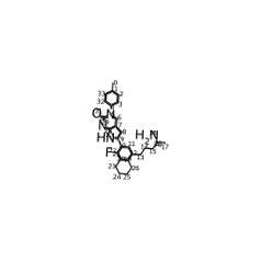 Cc1ccc(-n2cc3cc(-c4cc(CCC[C@H](C)N)c5c(c4F)CCCC5)[nH]c3nc2=O)cc1